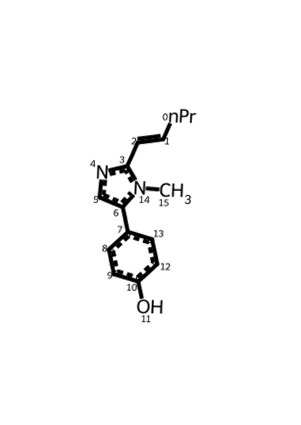 CCCC=Cc1ncc(-c2ccc(O)cc2)n1C